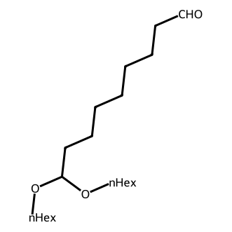 CCCCCCOC(CCCCCCCC=O)OCCCCCC